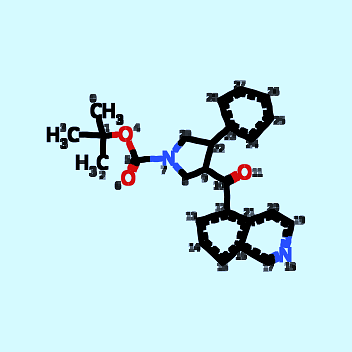 CC(C)(C)OC(=O)N1CC(C(=O)c2cccc3cnccc23)C(c2ccccc2)C1